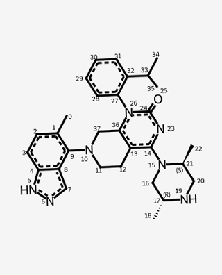 Cc1ccc2[nH]ncc2c1N1CCc2c(N3C[C@@H](C)NC[C@@H]3C)nc(=O)n(-c3ccccc3C(C)C)c2C1